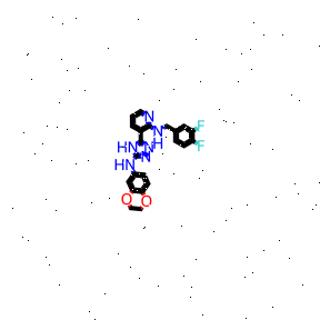 Fc1ccc(CNc2ncccc2-c2nnc(Nc3ccc4c(c3)OCCO4)[nH]2)cc1F